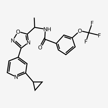 CC(NC(=O)c1cccc(OC(F)(F)F)c1)c1nc(-c2ccnc(C3CC3)c2)no1